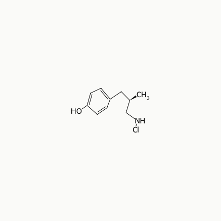 C[C@@H](CNCl)Cc1ccc(O)cc1